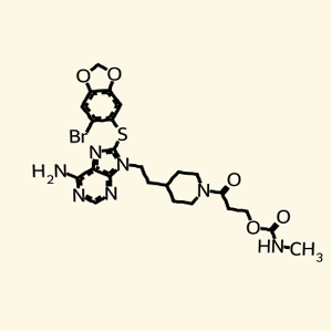 CNC(=O)OCCC(=O)N1CCC(CCn2c(Sc3cc4c(cc3Br)OCO4)nc3c(N)ncnc32)CC1